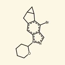 Brc1c2c(cc3c1cnn3C1CCCCO1)CC1CC21